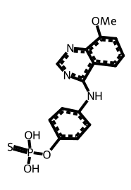 COc1cccc2c(Nc3ccc(OP(O)(O)=S)cc3)ncnc12